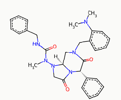 CN(C)c1ccccc1CN1C[C@H]2N(C(=O)CN2N(C)C(=O)NCc2ccccc2)[C@@H](c2ccccc2)C1=O